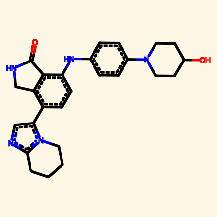 O=C1NCc2c(-c3cnc4n3CCCC4)ccc(Nc3ccc(N4CCC(O)CC4)cc3)c21